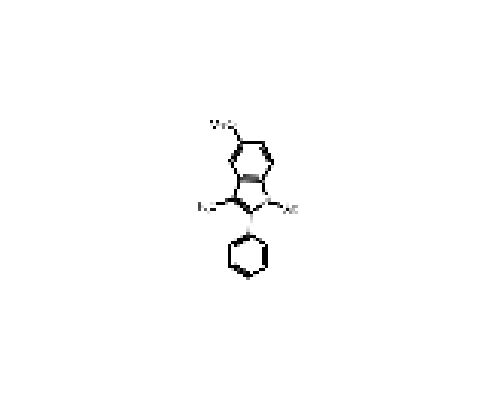 COc1ccc2c(c1)c(C(F)(F)F)c(-c1ccccc1)n2C(C)=O